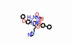 NC(=O)NC=O.O=S(=O)(c1ccc(-c2ccccc2)cc1)N1CCN(c2ccc(Oc3ccccc3)cc2)CC1CCCn1ccnc1